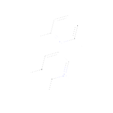 Cc1ccc[n+](C)c1C.Cc1cccc(C)n1